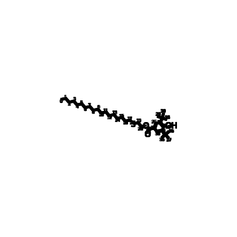 CCCCCCCCCCCCCCCCCCSCCOC(=O)c1cc(C(C)(C)C)c(O)c(C(C)(C)C)c1